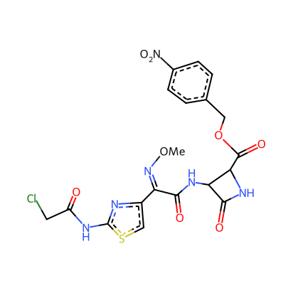 CON=C(C(=O)NC1C(=O)NC1C(=O)OCc1ccc([N+](=O)[O-])cc1)c1csc(NC(=O)CCl)n1